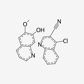 COc1cc2cccnc2cc1O.N#Cc1cnc2ccccc2c1Cl